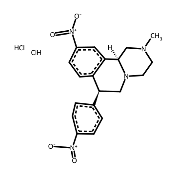 CN1CCN2C[C@@H](c3ccc([N+](=O)[O-])cc3)c3ccc([N+](=O)[O-])cc3[C@H]2C1.Cl.Cl